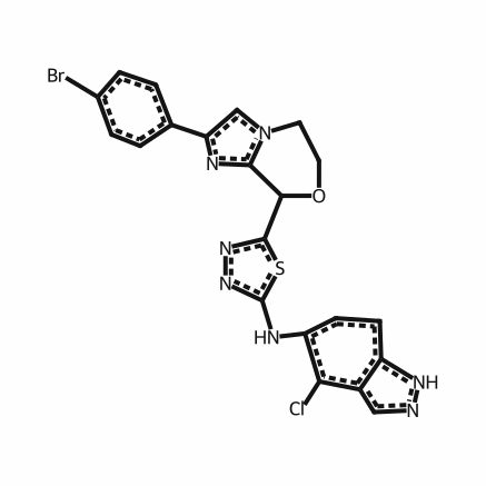 Clc1c(Nc2nnc(C3OCCn4cc(-c5ccc(Br)cc5)nc43)s2)ccc2[nH]ncc12